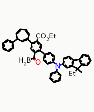 BC(=O)c1cc(C2=CC(c3ccccc3)C=CC=C2)c(C(=O)OCC)cc1-c1ccc(N(c2ccccc2)c2ccc3c(c2)C(C)(CC)c2ccccc2-3)cc1